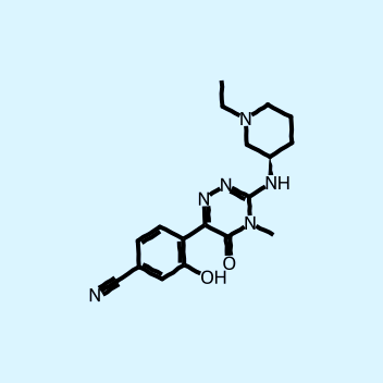 CCN1CCC[C@@H](Nc2nnc(-c3ccc(C#N)cc3O)c(=O)n2C)C1